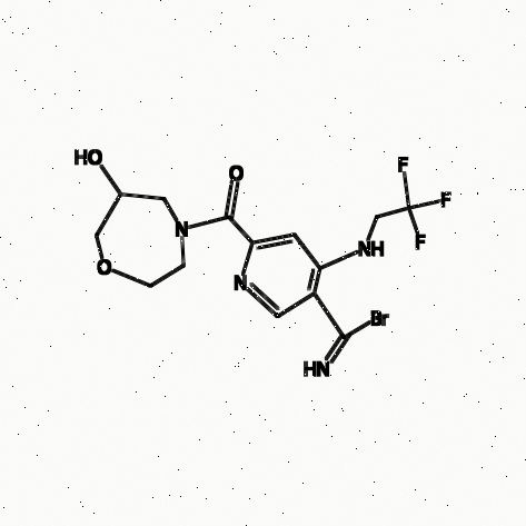 N=C(Br)c1cnc(C(=O)N2CCOCC(O)C2)cc1NCC(F)(F)F